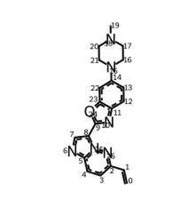 C=Cc1ccc2ncc(-c3nc4ccc(N5CCN(C)CC5)cc4o3)n2n1